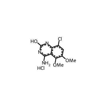 COc1cc(Cl)c2nc(O)nc(N)c2c1OC.Cl